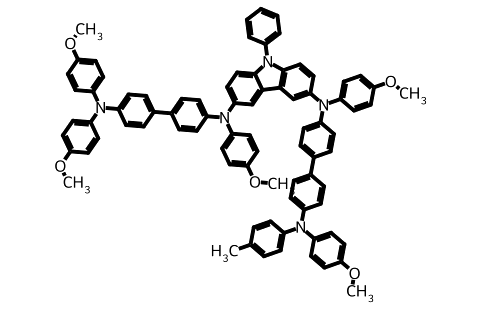 COc1ccc(N(c2ccc(C)cc2)c2ccc(-c3ccc(N(c4ccc(OC)cc4)c4ccc5c(c4)c4cc(N(c6ccc(OC)cc6)c6ccc(-c7ccc(N(c8ccc(OC)cc8)c8ccc(OC)cc8)cc7)cc6)ccc4n5-c4ccccc4)cc3)cc2)cc1